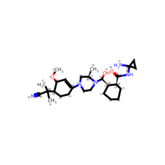 COC1C=C(N2CCN(C(O)[C@@H]3CCCC[C@@H]3C(=O)NC3(N)CC3)[C@H](C)C2)CCC1C(C)(C)C#N